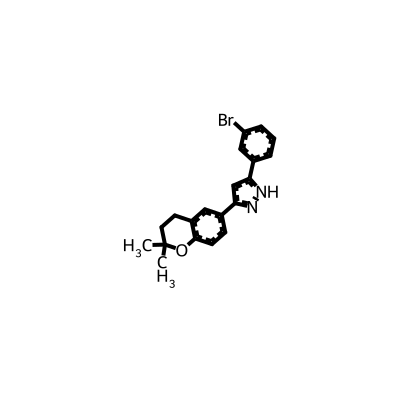 CC1(C)CCc2cc(-c3cc(-c4cccc(Br)c4)[nH]n3)ccc2O1